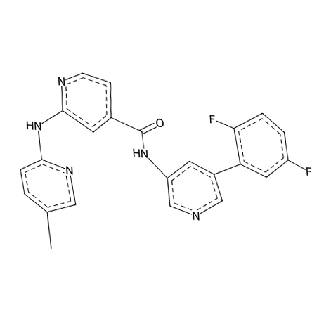 Cc1ccc(Nc2cc(C(=O)Nc3cncc(-c4cc(F)ccc4F)c3)ccn2)nc1